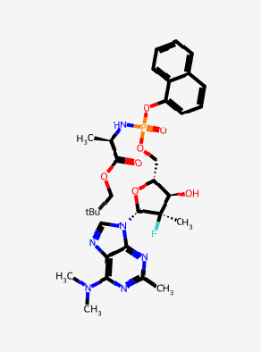 Cc1nc(N(C)C)c2ncn([C@@H]3O[C@H](COP(=O)(N[C@H](C)C(=O)OCC(C)(C)C)Oc4cccc5ccccc45)[C@@H](O)[C@@]3(C)F)c2n1